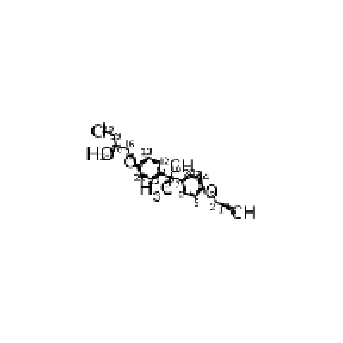 C#CCOc1ccc(C(C)(C)c2ccc(OC[C@@H](O)CCl)cc2)cc1